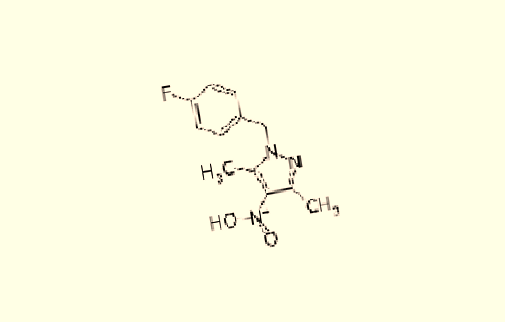 Cc1nn(Cc2ccc(F)cc2)c(C)c1[N+](=O)O